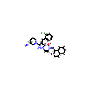 CCOC(=O)c1cn2nc(N3CCC[C@@H](N)C3)c(Cc3ccccc3Cl)c2c(=O)n1Cc1cccc2ccccc12